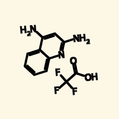 Nc1cc(N)c2ccccc2n1.O=C(O)C(F)(F)F